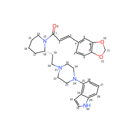 O=C(/C=C/c1ccc2c(c1)OCO2)N1CCCC[C@H]1CCN1CCN(c2cccc3[nH]ccc23)CC1